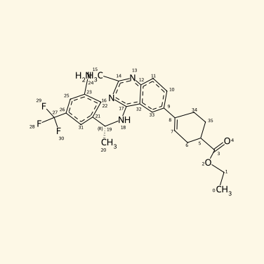 CCOC(=O)C1CC=C(c2ccc3nc(C)nc(N[C@H](C)c4cc(N)cc(C(F)(F)F)c4)c3c2)CC1